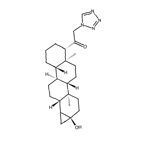 C[C@]12CC[C@]3(O)CC3[C@@H]1CC[C@@H]1[C@@H]2CC[C@]2(C)[C@@H](C(=O)Cn3cnnn3)CCC[C@@H]12